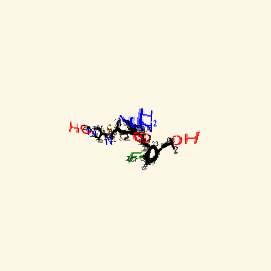 CC(C)(O)C#Cc1ccc(F)c(COC2=C(N)NCC(c3cnc(C4CCN(O)CC4)s3)=C2)c1